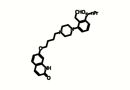 CCCSc1cccc(N2CCN(CCCCOc3ccc4ccc(=O)[nH]c4c3)CC2)c1CC=O